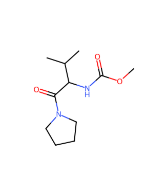 COC(=O)NC(C(=O)N1CCCC1)C(C)C